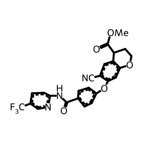 COC(=O)C1CCOc2cc(Oc3ccc(C(=O)Nc4ccc(C(F)(F)F)cn4)cc3)c(C#N)cc21